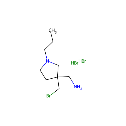 Br.Br.CCCN1CCC(CN)(CBr)C1